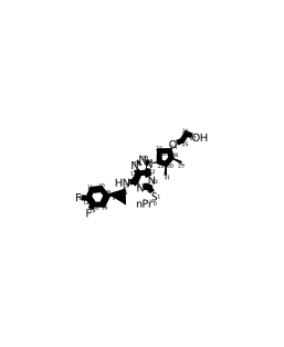 CCCSc1nc(N[C@@H]2C[C@H]2c2ccc(F)c(F)c2)c2nnn([C@@H]3C[C@H](OCCO)[C@@H](C)[C@H]3C)c2n1